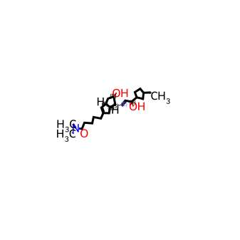 CCC1CCC([C@@H](O)/C=C/[C@@H]2[C@H]3CC(CCCCC(=O)N(C)C)=C[C@H]3C[C@H]2O)C1